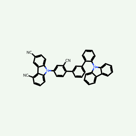 N#Cc1ccc2c(c1)c1c(C#N)cccc1n2-c1ccc(-c2cccc(-c3ccccc3-n3c4ccccc4c4ccccc43)c2)c(C#N)c1